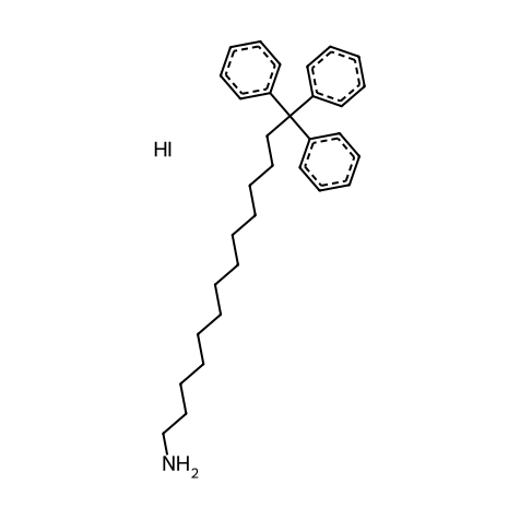 I.NCCCCCCCCCCCCCC(c1ccccc1)(c1ccccc1)c1ccccc1